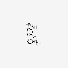 CN1CCN(C(=O)CC(=O)NC(C)(C)C)c2ccccc21